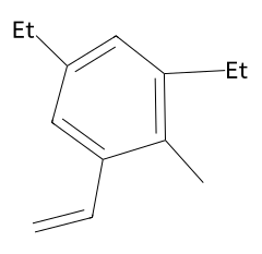 C=Cc1cc(CC)cc(CC)c1C